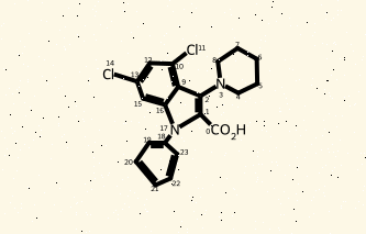 O=C(O)c1c(N2CCCCC2)c2c(Cl)cc(Cl)cc2n1-c1ccccc1